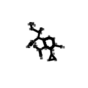 [C-]#[N+]C(C(=O)OC)c1ccc(F)c(C2CC2)c1[N+](=O)[O-]